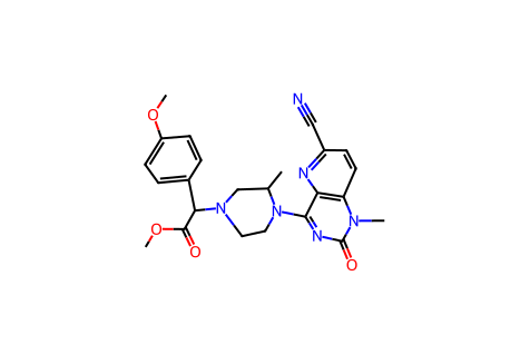 COC(=O)C(c1ccc(OC)cc1)N1CCN(c2nc(=O)n(C)c3ccc(C#N)nc23)C(C)C1